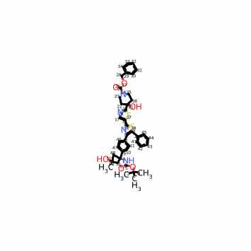 CC(C)(C)OC(=O)N[C@]1(c2ccc(-c3nc(-c4cnc(C5(O)CCN(C(=O)OCc6ccccc6)CC5)s4)sc3-c3ccccc3)cc2)C[C@@](C)(O)C1